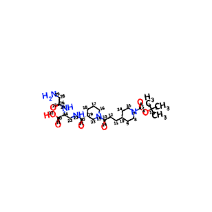 CC(C)(C)OC(=O)N1CCC(CCC(=O)N2CCC[C@@H](C(=O)NCC(NC(=O)CN)C(=O)O)C2)CC1